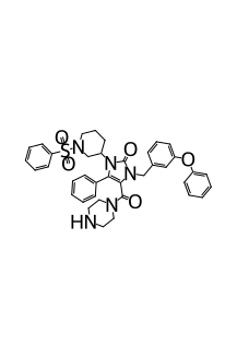 O=C(c1c(-c2ccccc2)n(C2CCCN(S(=O)(=O)c3ccccc3)C2)c(=O)n1Cc1cccc(Oc2ccccc2)c1)N1CCNCC1